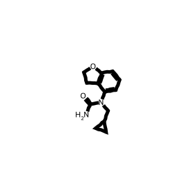 NC(=O)N(CC1CC1)c1cccc2c1CCO2